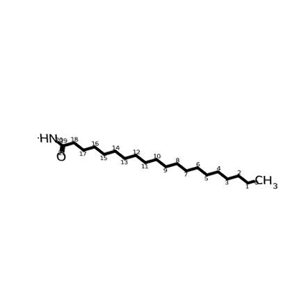 CCCCCCCCCCCCCCCCCCCC([NH])=O